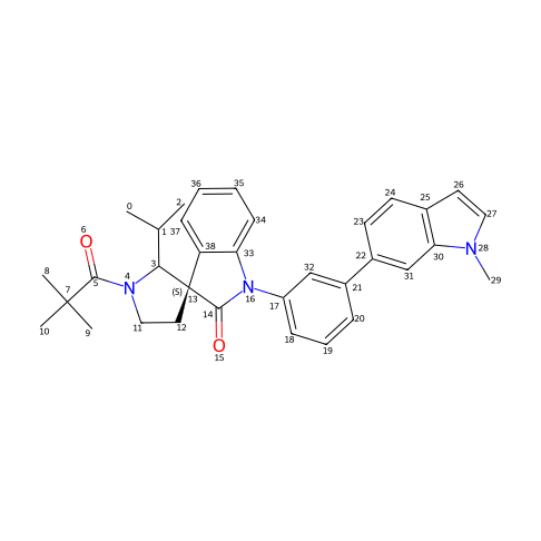 CC(C)C1N(C(=O)C(C)(C)C)CC[C@@]12C(=O)N(c1cccc(-c3ccc4ccn(C)c4c3)c1)c1ccccc12